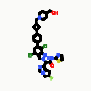 O=C(Nc1nccs1)C(c1ncn2c1C[C@@H](F)C2)n1cc2c(Cl)cc(-c3ccc(C4CC(CN5CCC(CO)CC5)C4)cc3)c(Cl)c2n1